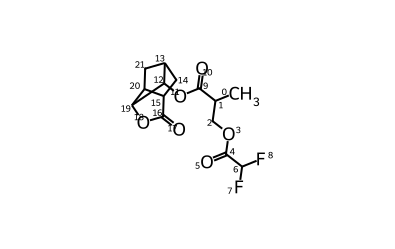 CC(COC(=O)C(F)F)C(=O)OC1C2CC3C(=O)OC1C3C2